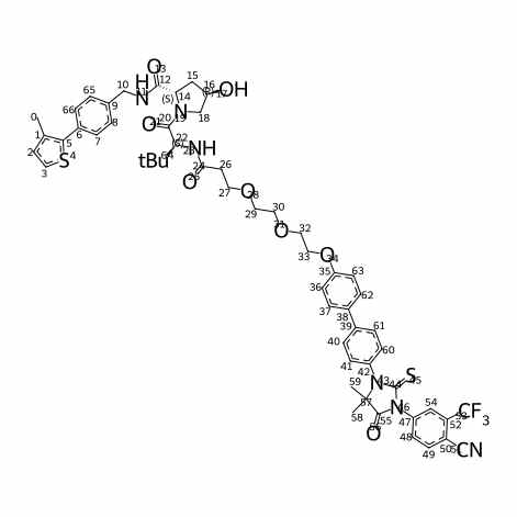 Cc1ccsc1-c1ccc(CNC(=O)[C@@H]2C[C@@H](O)CN2C(=O)[C@@H](NC(=O)CCOCCOCCOc2ccc(-c3ccc(N4C(=S)N(c5ccc(C#N)c(C(F)(F)F)c5)C(=O)C4(C)C)cc3)cc2)C(C)(C)C)cc1